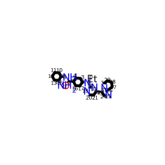 CCN(c1ccc(C(=O)Nc2ccccc2N)cc1)c1nccc(-c2cnc3ccccn23)n1